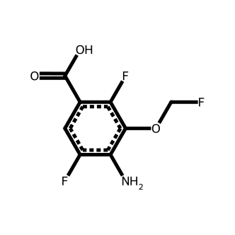 Nc1c(F)cc(C(=O)O)c(F)c1OCF